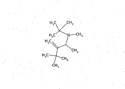 C=C(C(C)N(C)C(C)(C)C)C(C)(C)C